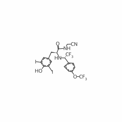 N#CCNC(=O)[C@H](Cc1cc(I)c(O)c(I)c1)N[C@@H](c1ccc(OC(F)(F)F)cc1)C(F)(F)F